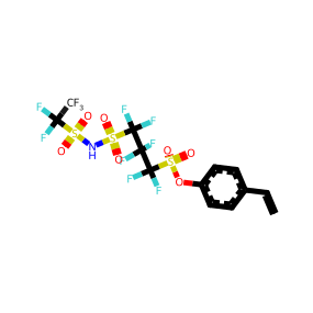 C=Cc1ccc(OS(=O)(=O)C(F)(F)C(F)(F)C(F)(F)S(=O)(=O)NS(=O)(=O)C(F)(F)C(F)(F)F)cc1